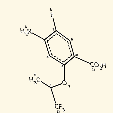 CC(Oc1cc(N)c(F)cc1C(=O)O)C(F)(F)F